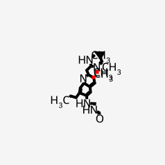 CC/C=C1/C=C(NCNC=O)C(CCC)=C/C1=N/C(CC)CC(/N=C(/C)C1CC1)NC